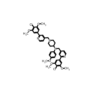 COc1ccc(N(Cc2ccnc(-c3cc(OC)c(Cl)c(OC)c3)c2)C2CCN(Cc3ccnc(-c4cc(OC)c(Cl)c(OC)c4)c3)CC2)cc1